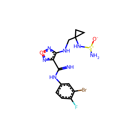 N=C(Nc1ccc(F)c(Br)c1)c1nonc1NCC1(N[S+](N)[O-])CC1